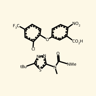 CNC(=O)N(C)c1nnc(C(C)(C)C)s1.O=C(O)c1cc(Oc2ccc(C(F)(F)F)cc2Cl)ccc1[N+](=O)[O-]